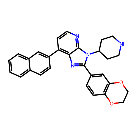 c1ccc2cc(-c3ccnc4c3nc(-c3ccc5c(c3)OCCO5)n4C3CCNCC3)ccc2c1